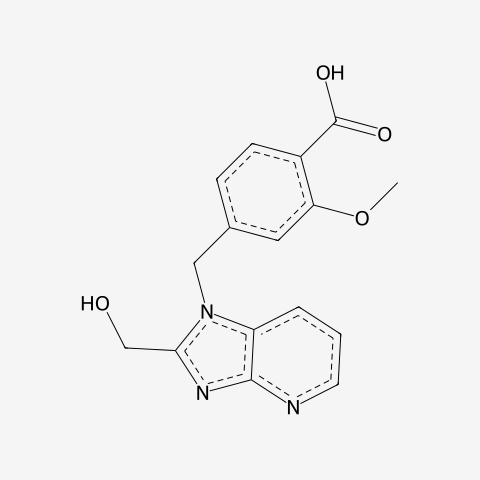 COc1cc(Cn2c(CO)nc3ncccc32)ccc1C(=O)O